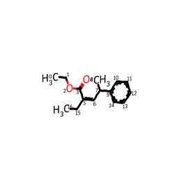 CCOC(=O)C(=CC(C)c1ccccc1)CC